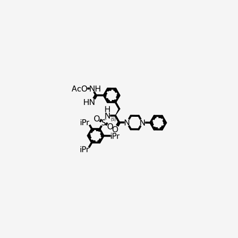 CC(=O)ONC(=N)c1cccc(C[C@H](NS(=O)(=O)c2c(C(C)C)cc(C(C)C)cc2C(C)C)C(=O)N2CCN(c3ccccc3)CC2)c1